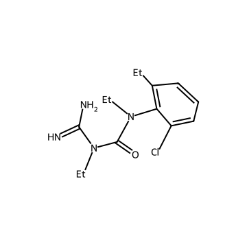 CCc1cccc(Cl)c1N(CC)C(=O)N(CC)C(=N)N